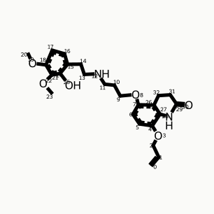 C=CCOc1ccc(OCCCNCCc2ccc(OC)c(OC)c2O)c2c1NC(=O)CC2